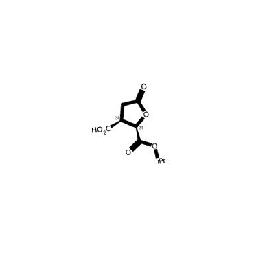 CC(C)OC(=O)[C@@H]1OC(=O)C[C@@H]1C(=O)O